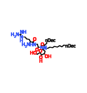 CCCCCCCCCCCCCCCCCCN(C(=O)CCCCCCCCCCC)[C@@]1(NC(=O)CNC(=O)[C@@H](N)CCCNC(=N)N)C[C@@H](O)[C@H](O)[C@@H](CO)O1